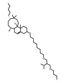 CCCCC[C@H]1CC[C@H](C)C2CC=C3CC(OCCCCCCCCOCC(COCCCC)N(C)C)CCC3(C)[C@H]2CCC1(C)C